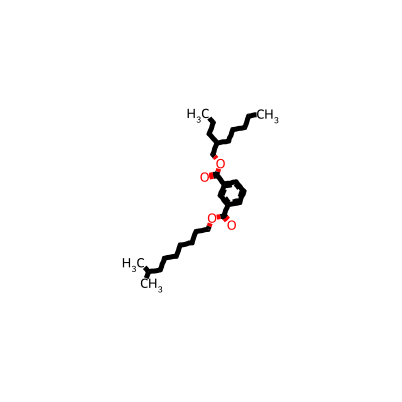 CCCCCC(CCC)COC(=O)c1cccc(C(=O)OCCCCCCCC(C)C)c1